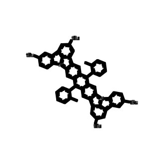 Cc1ccccc1-c1c2cc3c4cc(C(C)(C)C)cc5c6cc(C(C)(C)C)ccc6n(c3cc2c(-c2ccccc2C)c2cc3c6cc(C(C)(C)C)cc7c8cc(C(C)(C)C)ccc8n(c3cc12)c76)c54